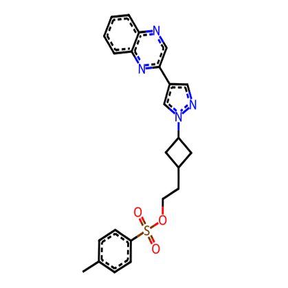 Cc1ccc(S(=O)(=O)OCCC2CC(n3cc(-c4cnc5ccccc5n4)cn3)C2)cc1